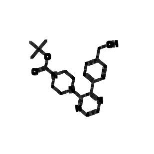 CC(C)(C)OC(=O)N1CCN(c2nccnc2-c2ccc(CO)cc2)CC1